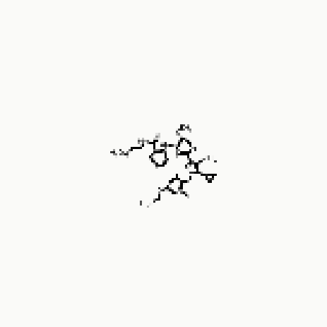 CCOc1cc(F)c(Cn2nc(-c3ncc(OC)c(Nc4ccncc4C(=O)NCCSC)n3)c(C)c2C2CC2)c(F)c1